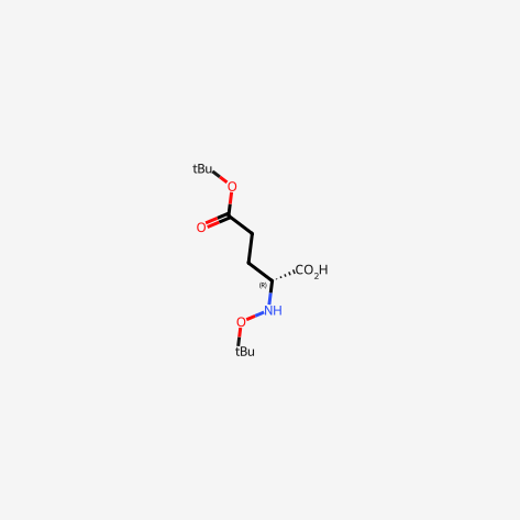 CC(C)(C)ON[C@H](CCC(=O)OC(C)(C)C)C(=O)O